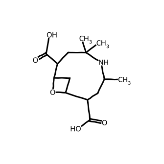 CC1CC(C(=O)O)C2CC(O2)C(C(=O)O)CC(C)(C)N1